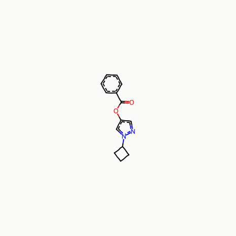 O=C(Oc1cnn(C2CCC2)c1)c1ccccc1